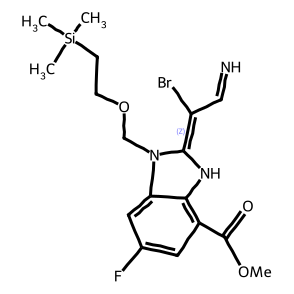 COC(=O)c1cc(F)cc2c1N/C(=C(/Br)C=N)N2COCC[Si](C)(C)C